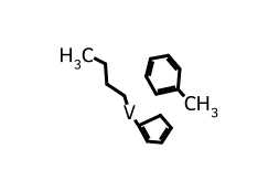 CCC[CH2][V][C]1=CC=CC1.Cc1ccccc1